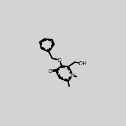 Cc1cc(=O)c(OCc2ccccc2)c(CO)n1C